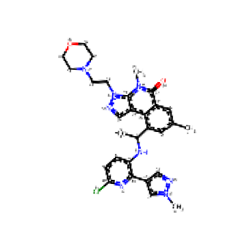 Cc1cc(C(C)Nc2ccc(Cl)nc2-c2cnn(C)c2)c2c(c1)c(=O)n(C)c1c2cnn1CCN1CCOCC1